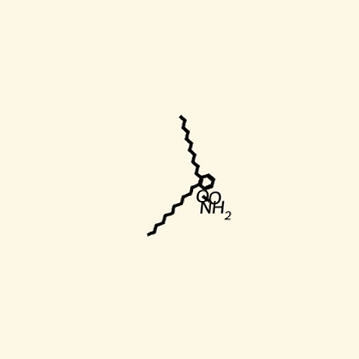 CCCCCCCCCCCc1cccc(OC(N)=O)c1CCCCCCCCCCC